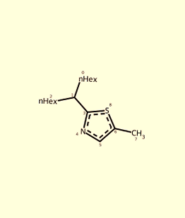 CCCCCCC(CCCCCC)c1ncc(C)s1